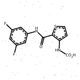 O=C(O)Nc1ccsc1C(=O)Nc1cc(F)cc(F)c1